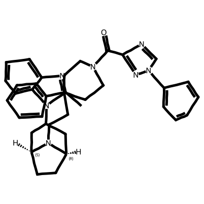 Cc1nc2ccccc2n1C1C[C@H]2CC[C@@H](C1)N2CCC1(c2ccccc2)CCN(C(=O)c2ncn(-c3ccccc3)n2)CC1